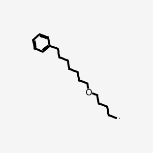 [CH2]CCCCOCCCCCCCc1ccccc1